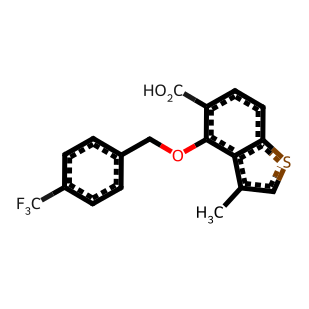 Cc1csc2ccc(C(=O)O)c(OCc3ccc(C(F)(F)F)cc3)c12